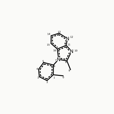 Cc1ccccc1-n1c(C)nc2ncccc21